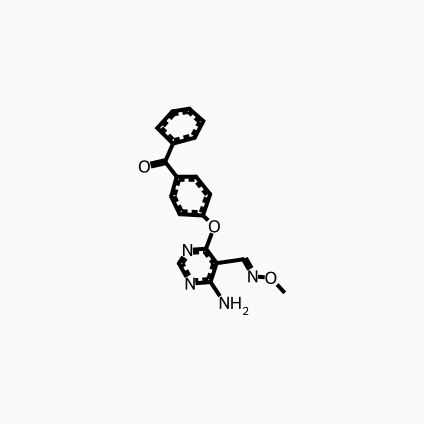 CON=Cc1c(N)ncnc1Oc1ccc(C(=O)c2ccccc2)cc1